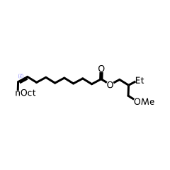 CCCCCCCC/C=C\CCCCCCCC(=O)OCC(CC)COC